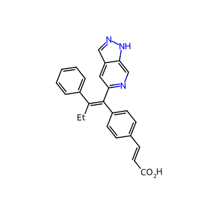 CCC(=C(c1ccc(C=CC(=O)O)cc1)c1cc2cn[nH]c2cn1)c1ccccc1